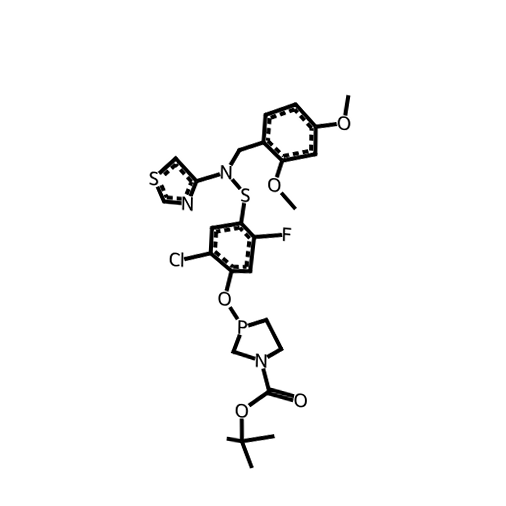 COc1ccc(CN(Sc2cc(Cl)c(OP3CCN(C(=O)OC(C)(C)C)C3)cc2F)c2cscn2)c(OC)c1